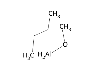 CCCC.C[O][AlH2]